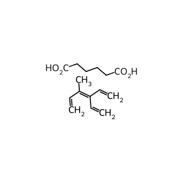 C=CC(C)=C(C=C)C=C.O=C(O)CCCCC(=O)O